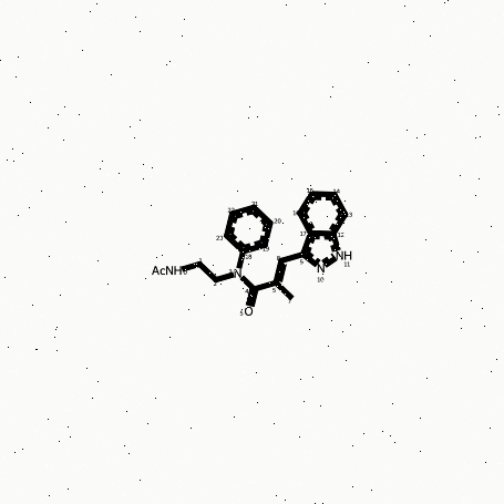 CC(=O)NCCN(C(=O)/C(C)=C/c1n[nH]c2ccccc12)c1ccccc1